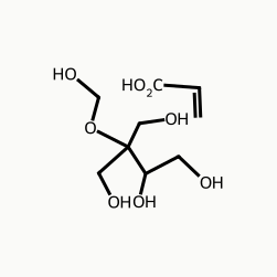 C=CC(=O)O.OCOC(CO)(CO)C(O)CO